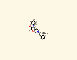 COc1ccccc1CCN1CCC2(CC1)CN(c1ccccc1)C(=O)C(C)O2